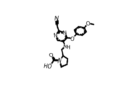 COc1ccc(Oc2nc(C#N)ncc2NCC2CCCN2C(=O)O)cc1